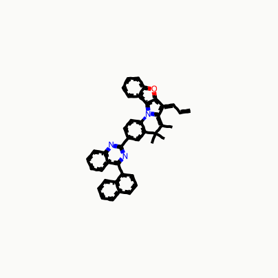 C=C/C=c1\c2n(c3c1oc1ccccc13)-c1ccc(-c3nc(-c4cccc5ccccc45)c4ccccc4n3)cc1C(C)(C)C=2C